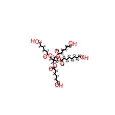 O=C(CCCCCO)OCC(COC(=O)CCCCCO)(COC(=O)CCCCCO)COC(=O)CCCCCCCO